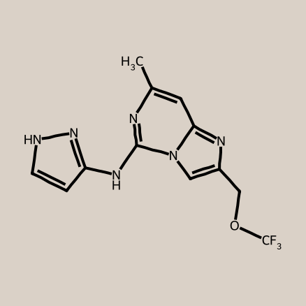 Cc1cc2nc(COC(F)(F)F)cn2c(Nc2cc[nH]n2)n1